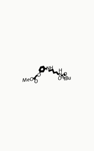 COC(=O)COc1cccc(NCCCCCNS(=O)(=O)C(C)(C)C)c1